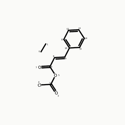 CC.O=C(Cl)OC(=O)C=Cc1ccccc1